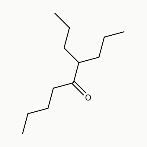 CCCCC(=O)C(CCC)CCC